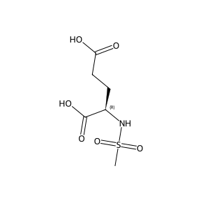 CS(=O)(=O)N[C@H](CCC(=O)O)C(=O)O